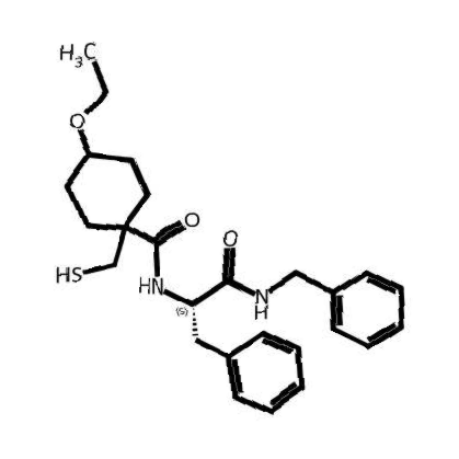 CCOC1CCC(CS)(C(=O)N[C@@H](Cc2ccccc2)C(=O)NCc2ccccc2)CC1